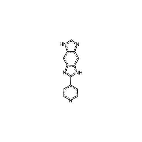 c1cc(-c2nc3cc4[nH]cnc4cc3[nH]2)ccn1